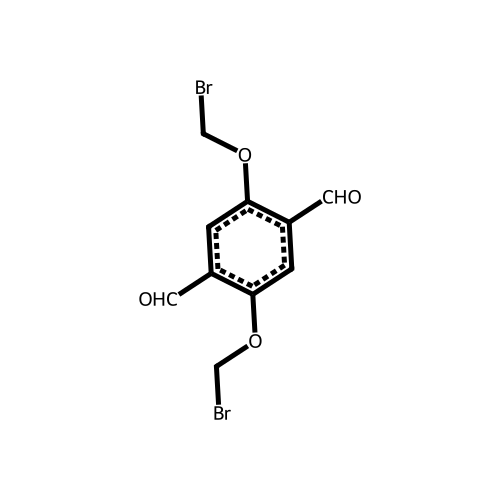 O=Cc1cc(OCBr)c(C=O)cc1OCBr